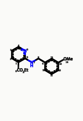 CCOC(=O)c1cccnc1NCc1cccc(OC)c1